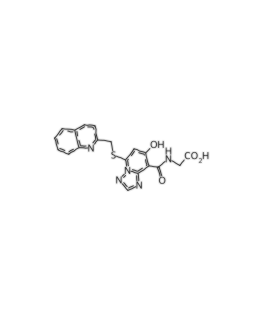 O=C(O)CNC(=O)c1c(O)cc(SCc2ccc3ccccc3n2)n2ncnc12